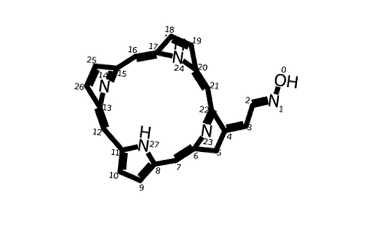 O/N=C/C=C1/Cc2cc3ccc(cc4nc(cc5[c]cc(cc1n2)[nH]5)C=C4)[nH]3